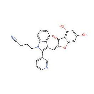 N#CCCCn1c(-c2cccnc2)c(/C=C2/Oc3cc(O)cc(O)c3C2=O)c2ccccc21